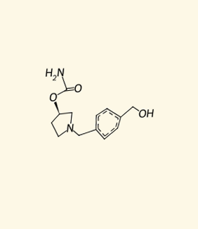 NC(=O)O[C@@H]1CCN(Cc2ccc(CO)cc2)C1